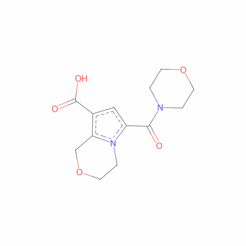 O=C(O)c1cc(C(=O)N2CCOCC2)n2c1COCC2